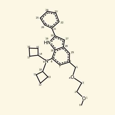 COCCOCc1cc(N(C2CCC2)C2CCC2)c2[nH]c(-c3ccccc3)cc2c1